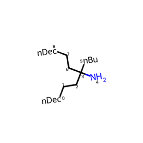 CCCCCCCCCCCCC(N)(CCCC)CCCCCCCCCCCC